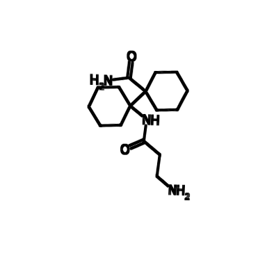 NCCC(=O)NC1(C2(C(N)=O)CCCCC2)CCCCC1